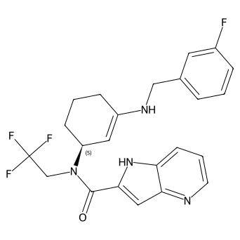 O=C(c1cc2ncccc2[nH]1)N(CC(F)(F)F)[C@@H]1C=C(NCc2cccc(F)c2)CCC1